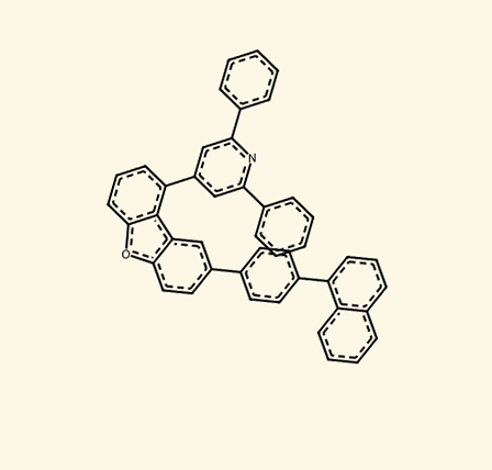 c1ccc(-c2cc(-c3cccc4oc5ccc(-c6ccc(-c7cccc8ccccc78)cc6)cc5c34)cc(-c3ccccc3)n2)cc1